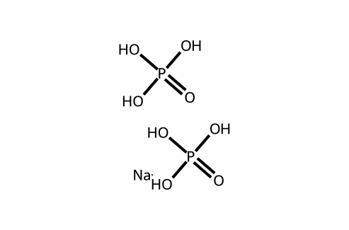 O=P(O)(O)O.O=P(O)(O)O.[Na]